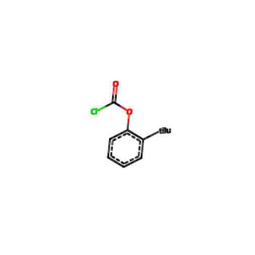 CC(C)(C)c1ccccc1OC(=O)Cl